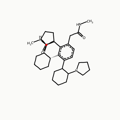 CNC(=O)Cc1ccc(C2CCCCC2N2CCCC2)c([C@@H]2CCCC[C@H]2N2CCCC2)c1CC(=O)NC